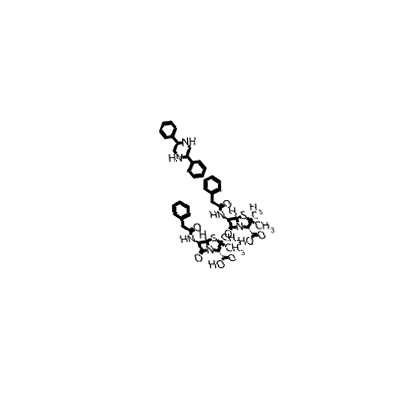 CC1(C)S[C@@H]2[C@H](NC(=O)Cc3ccccc3)C(=O)N2[C@H]1C(=O)O.CC1(C)S[C@@H]2[C@H](NC(=O)Cc3ccccc3)C(=O)N2[C@H]1C(=O)O.c1ccc(C2CNC(c3ccccc3)CN2)cc1